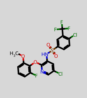 COc1cccc(F)c1Oc1ncc(Cl)cc1NS(=O)(=O)c1ccc(Cl)c(C(F)(F)F)c1